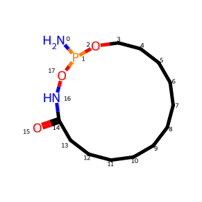 NP1OCCCCCCCCCCCC(=O)NO1